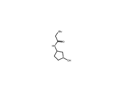 CC(C)(C)CC(=O)NC1CCN(O)C1